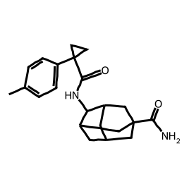 Cc1ccc(C2(C(=O)NC3C4CC5CC3CC(C(N)=O)(C5)C4)CC2)cc1